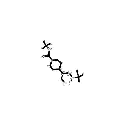 CC(C)(C)OC(=O)N1CCC([C@H](CF)N[S+]([O-])C(C)(C)C)CC1